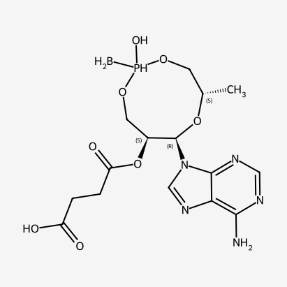 B[PH]1(O)OC[C@H](OC(=O)CCC(=O)O)[C@H](n2cnc3c(N)ncnc32)O[C@@H](C)CO1